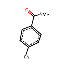 [CH2]NC(=O)c1ccc(C#N)cc1